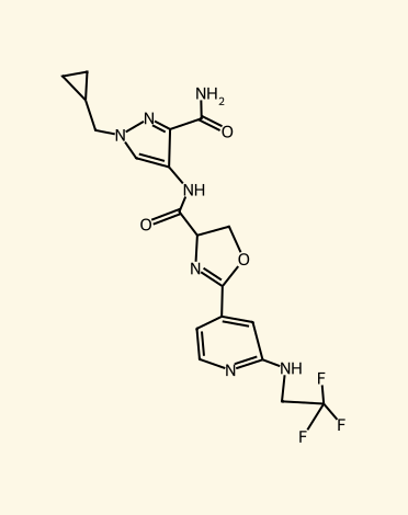 NC(=O)c1nn(CC2CC2)cc1NC(=O)C1COC(c2ccnc(NCC(F)(F)F)c2)=N1